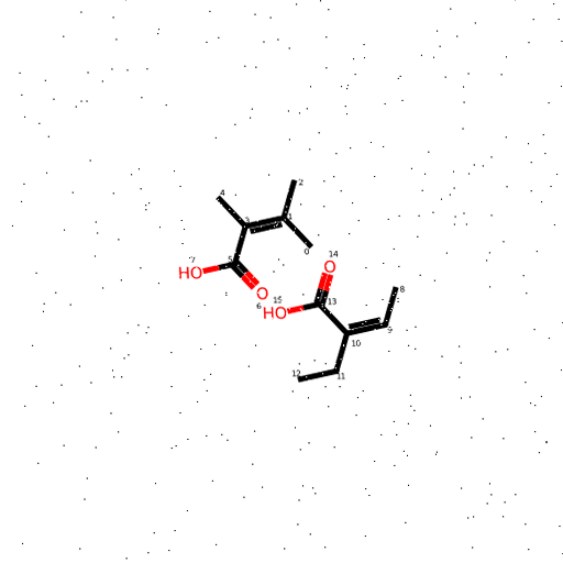 CC(C)=C(C)C(=O)O.CC=C(CC)C(=O)O